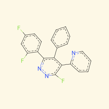 Fc1ccc(-c2nnc(F)c(-c3ccccn3)c2-c2ccccc2)c(F)c1